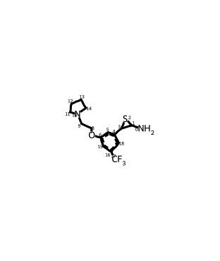 NC1SC1c1cc(OCCN2CCCC2)cc(C(F)(F)F)c1